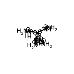 NNC(=O)NOCCOCC(COCCONC(=O)NN)(COCCONC(=O)NN)COCCONC(=O)NN